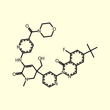 CN1CC(CO)(c2ccnc(-n3ncc4cc(C(C)(C)C)cc(F)c4c3=O)c2)C=C(Nc2ccc(C(=O)N3CCOCC3)cn2)C1=O